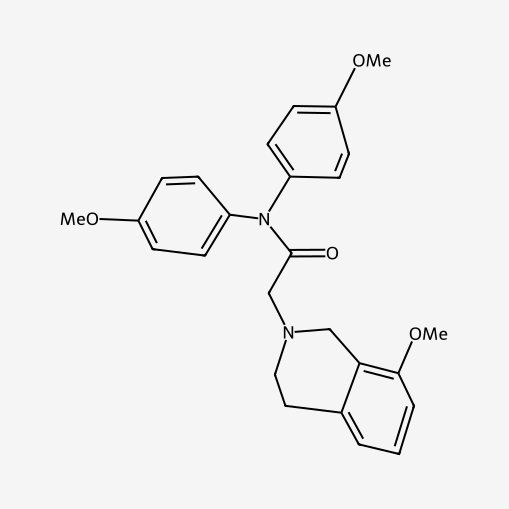 COc1ccc(N(C(=O)CN2CCc3cccc(OC)c3C2)c2ccc(OC)cc2)cc1